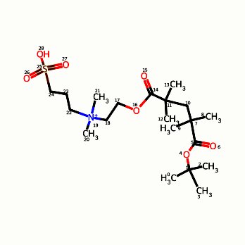 CC(C)(C)OC(=O)C(C)(C)CC(C)(C)C(=O)OCC[N+](C)(C)CCCS(=O)(=O)O